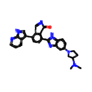 CN(C)C1CCN(c2ccc3[nH]c(-c4ccc(-c5c[nH]c6ncccc56)c5c4C(=O)N=C5)nc3c2)C1